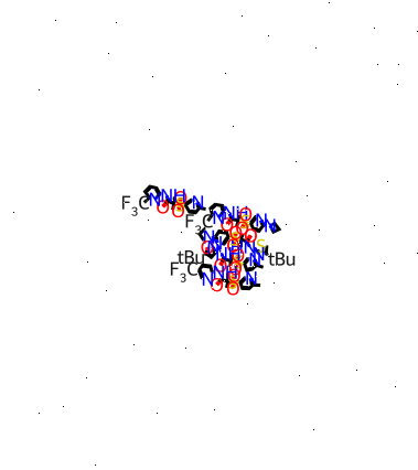 CC(C)(C(=O)Nc1cccc(C(F)(F)F)n1)S(=O)(=O)c1ccc(N2CCC2)nc1.CC(C)(C)c1csc(NC(=O)C(C)(C)S(=O)(=O)c2ccc(N3CCC3)nc2)n1.Cc1ccc(S(=O)(=O)C(C)(C)C(=O)Nc2cc(C(C)(C)C)on2)cn1.Cc1ccc(S(=O)(=O)C(C)(C)C(=O)Nc2ccc(C(F)(F)F)cn2)cn1.Cc1ccc(S(=O)(=O)C(C)(C)C(=O)Nc2cccc(C(F)(F)F)n2)cn1